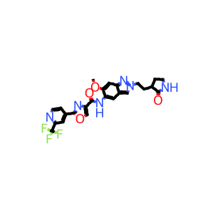 COc1cc2nn(CCC3CCNC3=O)cc2cc1NC(=O)c1coc(-c2ccnc(C(F)(F)F)c2)n1